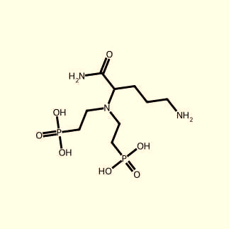 NCCCC(C(N)=O)N(CCP(=O)(O)O)CCP(=O)(O)O